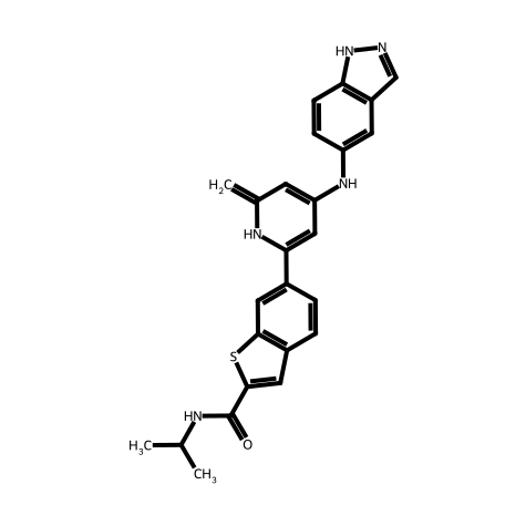 C=C1C=C(Nc2ccc3[nH]ncc3c2)C=C(c2ccc3cc(C(=O)NC(C)C)sc3c2)N1